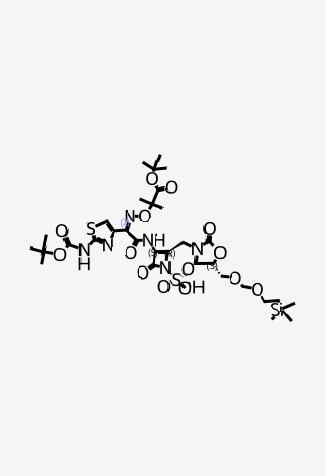 CC(C)(C)OC(=O)Nc1nc(/C(=N/OC(C)(C)C(=O)OC(C)(C)C)C(=O)N[C@@H]2C(=O)N(S(=O)(=O)O)[C@@H]2CN2C[C@@H](COCOCC[Si](C)(C)C)OC2=O)cs1